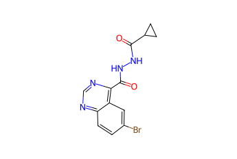 O=C(NNC(=O)C1CC1)c1ncnc2ccc(Br)cc12